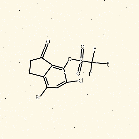 O=C1CCc2c(Br)cc(Cl)c(OS(=O)(=O)C(F)(F)F)c21